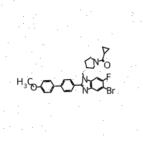 COc1ccc(-c2ccc(-c3nc4cc(Br)c(F)cc4n3C[C@@H]3CCN(C(=O)C4CC4)C3)cc2)cc1